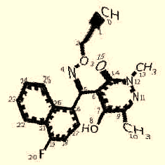 C#CCO/N=C(\c1c(O)c(C)nn(C)c1=O)c1ccc(F)c2ccccc12